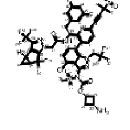 CC(C)(C#Cc1ccc(-c2ccc(Cl)c3c(N(C(=O)O[C@H]4C[C@@H](N)C4)S(C)(=O)=O)nn(CC(F)(F)F)c23)c([C@H](Cc2cc(F)cc(F)c2)NC(=O)Cn2nc(C(F)(F)F)c3c2C(F)(F)C2C[C@H]32)n1)S(C)(=O)=O